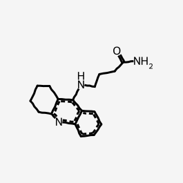 NC(=O)CCCNc1c2c(nc3ccccc13)CCCC2